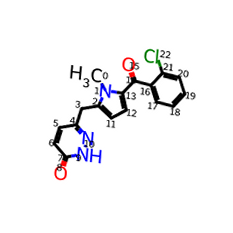 Cn1c(Cc2ccc(=O)[nH]n2)ccc1C(=O)c1ccccc1Cl